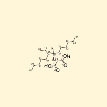 O=C(O)CC(=O)O.[Li][C](C)(CCCCCC)C(CC)CCCCC